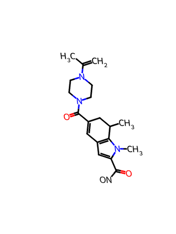 C=C(C)N1CCN(C(=O)C2=Cc3cc(C(=O)N=O)n(C)c3C(C)C2)CC1